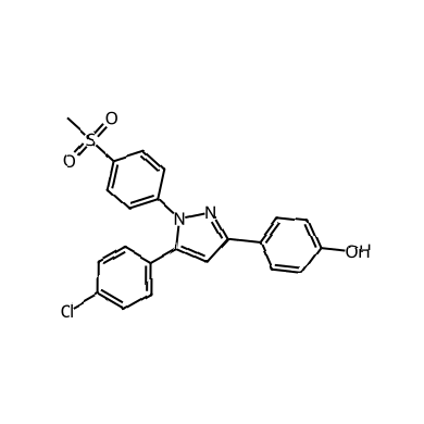 CS(=O)(=O)c1ccc(-n2nc(-c3ccc(O)cc3)cc2-c2ccc(Cl)cc2)cc1